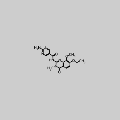 CCOc1ccc2c(=O)n(C)c(NC(=O)c3cnc(N)nc3)nc2c1OC